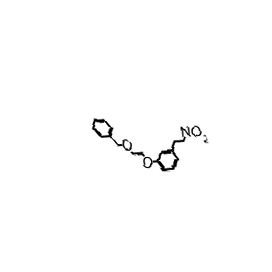 O=[N+]([O-])CCc1cccc(OCCOCc2ccccc2)c1